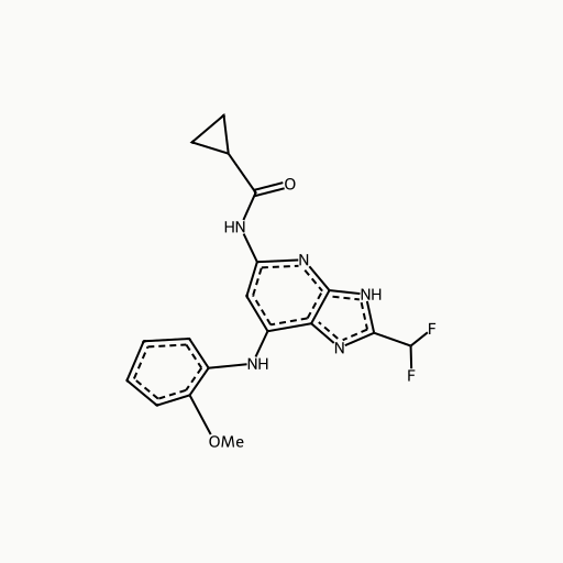 COc1ccccc1Nc1cc(NC(=O)C2CC2)nc2[nH]c(C(F)F)nc12